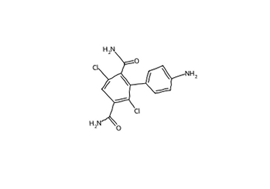 NC(=O)c1cc(Cl)c(C(N)=O)c(-c2ccc(N)cc2)c1Cl